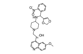 COc1ccc2nccc([C@@H](O)CN3CCC(NC(C4=COCO4)c4ccccc4[N+](=O)[O-])CC3)c2c1